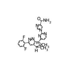 CC1(C)[C@H]2CC[C@@]1(c1ccnc(-n3cnc(C(N)=O)c3)n1)c1nnc(-c3c(F)cccc3F)cc12